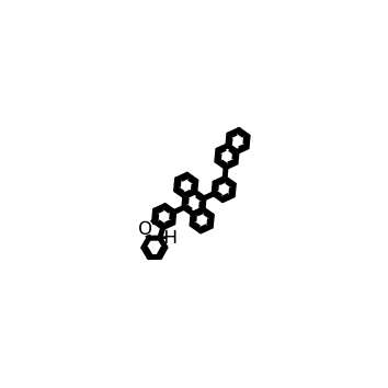 C1=CC2Oc3ccc(-c4c5ccccc5c(-c5cccc(-c6ccc7ccccc7c6)c5)c5ccccc45)cc3[C@@H]2C=C1